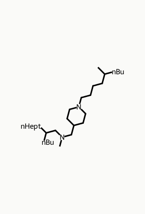 CCCCCCCC(CCCC)CN(C)CC1CCN(CCCCC(C)CCCC)CC1